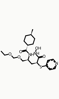 CCOCOC[C@H](C[C@H](Sc1ccncc1)C(=O)NO)NC(=O)[C@H]1CC[C@H](C)CC1